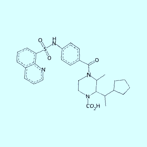 CC(C1CCCC1)C1C(C)N(C(=O)c2ccc(NS(=O)(=O)c3cccc4cccnc34)cc2)CCN1C(=O)O